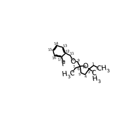 CCC1(C)CCC(CC)(COCc2ccccc2F)O1